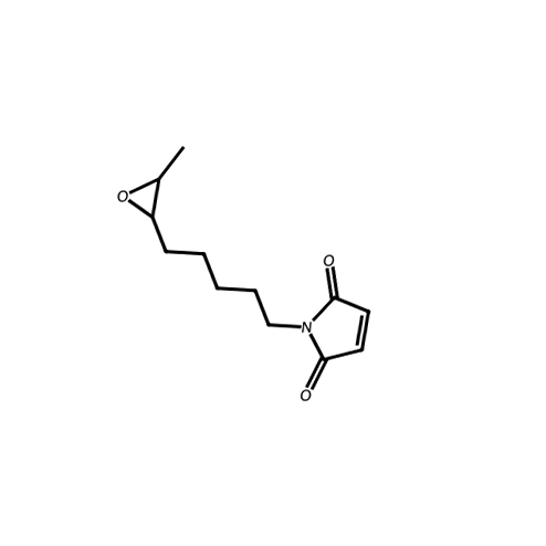 CC1OC1CCCCCN1C(=O)C=CC1=O